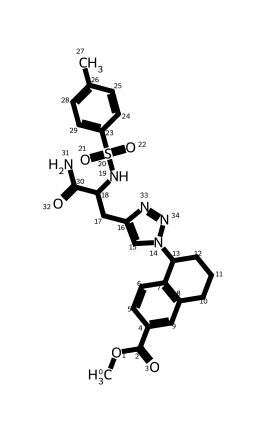 COC(=O)c1ccc2c(c1)CCCC2n1cc(CC(NS(=O)(=O)c2ccc(C)cc2)C(N)=O)nn1